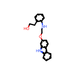 OCCc1ccccc1NCCOc1ccc2c(c1)[nH]c1ccccc12